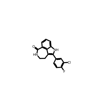 O=C1NCCc2c(-c3ccc(F)c(Cl)c3)[nH]c3cccc1c23